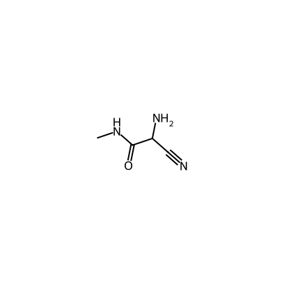 CNC(=O)C(N)C#N